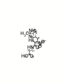 C[C@@](N)(C=O)Nc1ccc([N+](=O)[O-])c(C(=O)NCCC(=O)O)c1